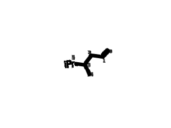 C=CCC(C)C(C)C